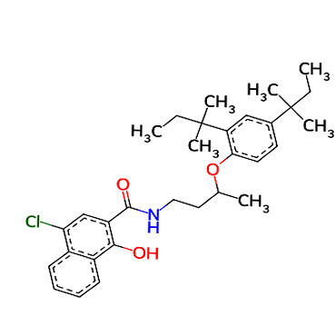 CCC(C)(C)c1ccc(OC(C)CCNC(=O)c2cc(Cl)c3ccccc3c2O)c(C(C)(C)CC)c1